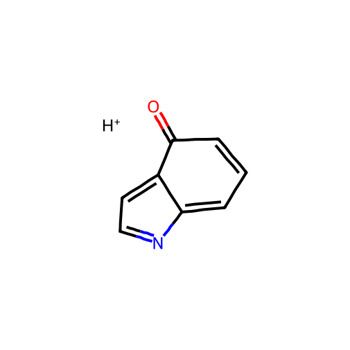 O=C1C=CC=C2N=CC=C12.[H+]